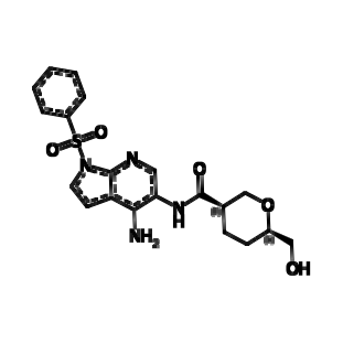 Nc1c(NC(=O)[C@@H]2CC[C@H](CO)OC2)cnc2c1ccn2S(=O)(=O)c1ccccc1